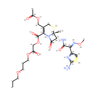 CCCOCCCOC(=O)COC(=O)C1=C(COC(C)=O)CS[C@@H]2[C@H](NC(=O)C(=NOC)c3csc(N)n3)C(=O)N12